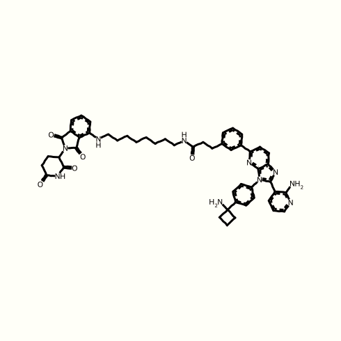 Nc1ncccc1-c1nc2ccc(-c3cccc(CCC(=O)NCCCCCCCCNc4cccc5c4C(=O)N(C4CCC(=O)NC4=O)C5=O)c3)nc2n1-c1ccc(C2(N)CCC2)cc1